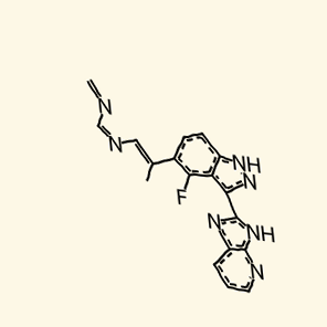 C=N/C=N\C=C(/C)c1ccc2[nH]nc(-c3nc4cccnc4[nH]3)c2c1F